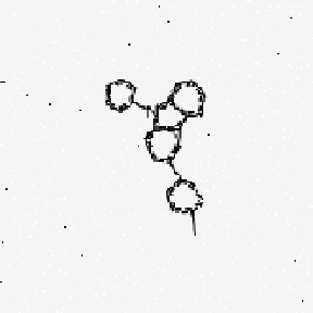 Cc1ccc(-c2ccc3c(c2)c2ccccc2n3-c2ccccc2)cc1